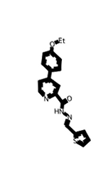 CCOc1ccc(-c2ccnc(C(=O)NN=Cc3cccs3)c2)cc1